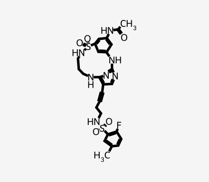 CC(=O)Nc1cc2cc(c1)S(=O)(=O)NCCCNc1nc(ncc1C#CCCNS(=O)(=O)c1cc(C)ccc1F)N2